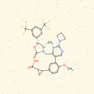 COc1ccc(C2CC2C(=O)O)cc1-c1cnc(N2CCC2)nc1CN1C(=O)O[C@H](c2cc(C(F)(F)F)cc(C(F)(F)F)c2)[C@@H]1C